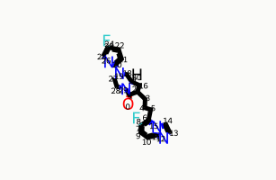 O=C1C(CCCc2c(F)ccc3nccn23)C[C@H]2CN(c3ccc(F)cn3)CCN12